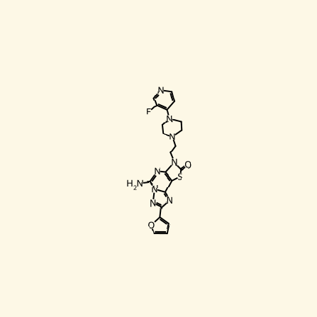 Nc1nc2c(sc(=O)n2CCN2CCN(c3ccncc3F)CC2)c2nc(-c3ccco3)nn12